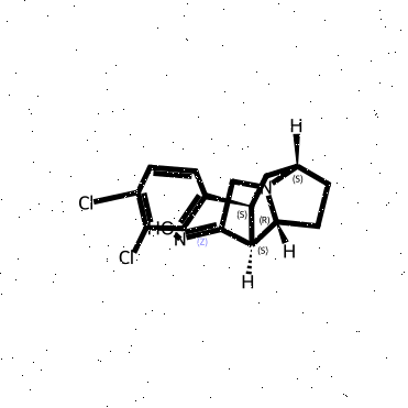 O/N=C1\CN2[C@H]3CC[C@@H]2[C@@H]1[C@@H](c1ccc(Cl)c(Cl)c1)C3